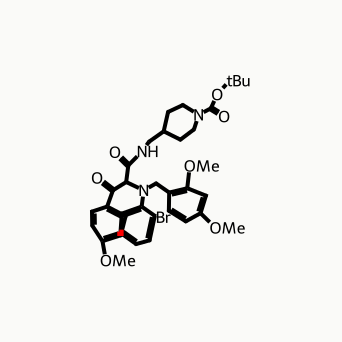 COc1ccc(C(=O)C(C(=O)NCC2CCN(C(=O)OC(C)(C)C)CC2)N(Cc2ccc(OC)cc2OC)c2ccccc2Br)cc1